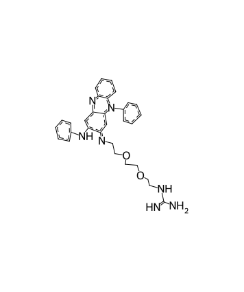 N=C(N)NCCOCCOCC/N=c1\cc2n(-c3ccccc3)c3ccccc3nc-2cc1Nc1ccccc1